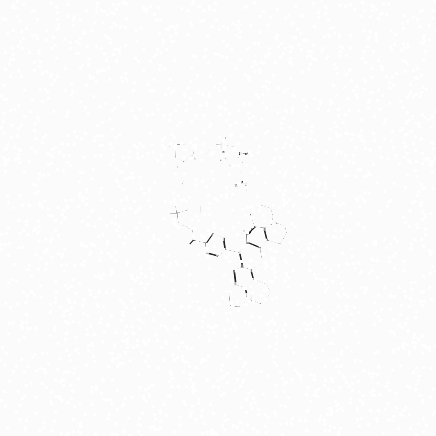 B[C@H]1C[C@@H](OCSSC(C)(C)CNC(=O)c2ccc(C3=c4cc5c6c(c4Oc4c3cc3c7c4CCCN7CCC3)CCC[N+]=6CCC5)c(C(=O)[O-])c2)[C@@H](COP(=O)(O)OP(=O)(O)OP(=O)(O)O)O1